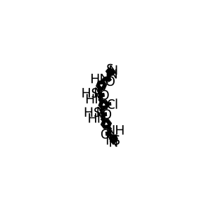 O=C(Nc1ccc(NC(=O)N(S)c2cc(Cl)cc(NC(=O)N(S)c3ccc(NC(=O)c4csnn4)cc3)c2)cc1)c1csnn1